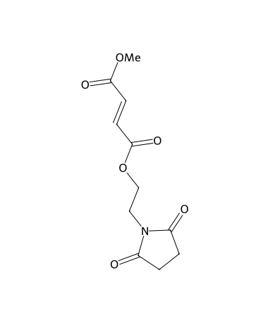 COC(=O)C=CC(=O)OCCN1C(=O)CCC1=O